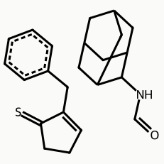 O=CNC1C2CC3CC(C2)CC1C3.S=C1CCC=C1Cc1ccccc1